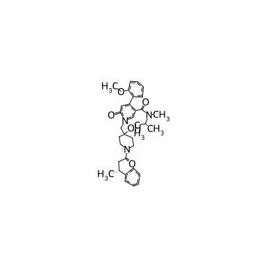 COc1ccccc1-c1cc(=O)n(CC2(O)CCN(C(=O)C[C@@H](C)c3ccccc3)CC2)cc1C(=O)N(C)C(C)C